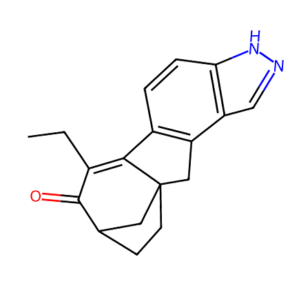 CCC1=C2c3ccc4[nH]ncc4c3CC23CCC(C3)C1=O